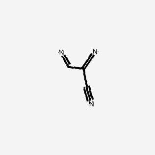 [N]=CC(=[N])C#N